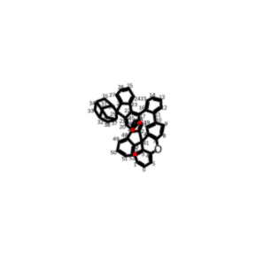 c1ccc2c(c1)Oc1ccc(-c3ccccc3-c3cccc4c3-c3ccccc3C43C4CC5CC(C4)CC3C5)cc1C21c2ccccc2-c2ccccc21